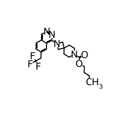 CCCCOC(=O)N1CCC2(CC1)CN(c1nncc3ccc(CC(F)(F)F)cc13)C2